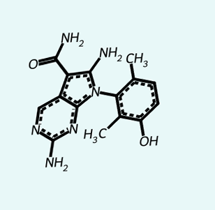 Cc1ccc(O)c(C)c1-n1c(N)c(C(N)=O)c2cnc(N)nc21